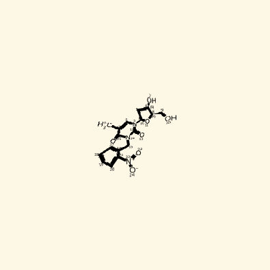 Cc1cn([C@H]2C[C@@H](O)[C@@H](CO)O2)c(=O)n(Cc2ccccc2[N+](=O)[O-])c1=O